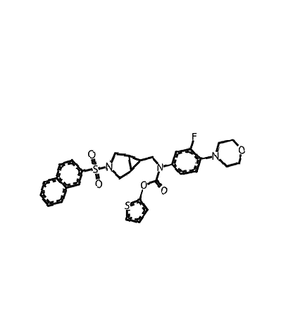 O=C(Oc1cccs1)N(CC1C2CN(S(=O)(=O)c3ccc4ccccc4c3)CC12)c1ccc(N2CCOCC2)c(F)c1